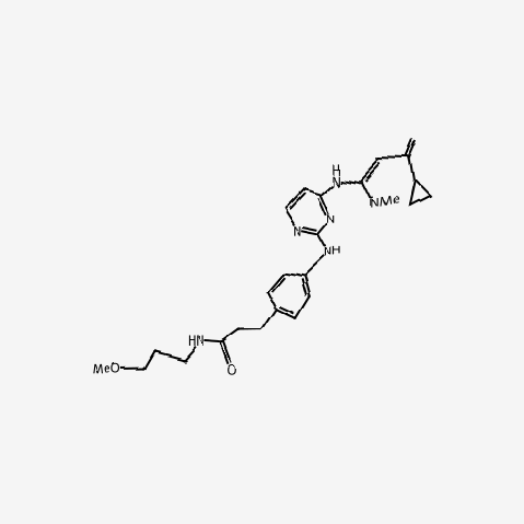 C=C(/C=C(\NC)Nc1ccnc(Nc2ccc(CCC(=O)NCCCOC)cc2)n1)C1CC1